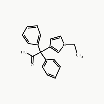 CCn1ccc(C(C(=O)O)(c2ccccc2)c2ccccc2)c1